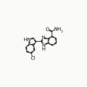 NC(=O)c1cccc2[nH]c(-c3c[nH]c4ccc(Cl)cc34)nc12